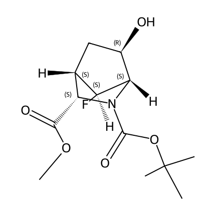 COC(=O)[C@@H]1[C@@H]2C[C@@H](O)[C@@H]([C@H]2F)N1C(=O)OC(C)(C)C